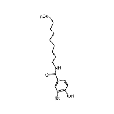 CCCCCCCCCCCCCCCCCCNC(=O)c1ccc(O)c(CC)c1